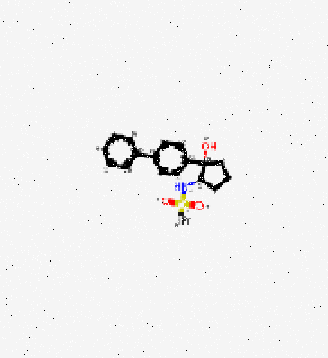 CC(C)S(=O)(=O)N[C@@H]1CCC[C@@]1(O)c1ccc(-c2ccccc2)cc1